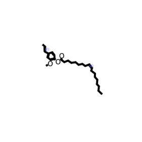 C/C=C/c1ccc(OC(=O)CCCCCCC/C=C\CCCCCCCC)c(OC)c1